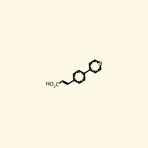 O=C(O)C=Cc1ccc(-c2ccncc2)cc1